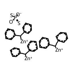 [O-]P([O-])(=S)[S-].[Zn+][CH](c1ccccc1)c1ccccc1.[Zn+][CH](c1ccccc1)c1ccccc1.[Zn+][CH](c1ccccc1)c1ccccc1